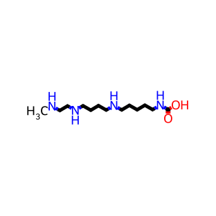 CNCCNCCCCNCCCCCNC(=O)O